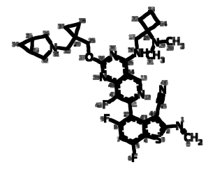 C=Nc1sc2c(F)cc(F)c(-c3ncc4c(NCC5(N(C)C)CCC5)nc(OCC5(CN6CC7CC7C6)CC5)nc4c3F)c2c1C#N